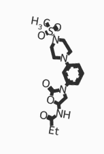 CCC(=O)NC1CN(c2cccc(N3CCN(S(C)(=O)=O)CC3)c2)C(=O)O1